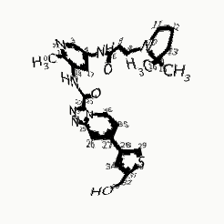 Cc1ncc(NC(=O)CCN2CCCC2(C)C)cc1NC(=O)c1nnc2cc(-c3csc(CO)c3)ccn12